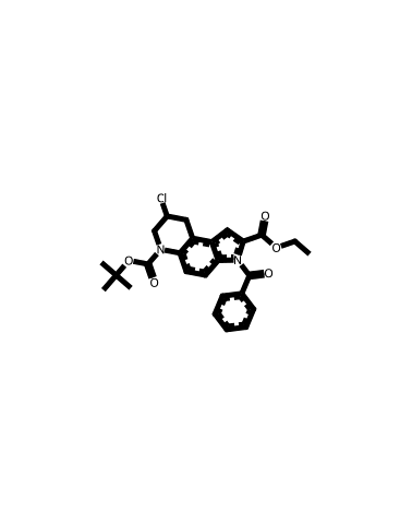 CCOC(=O)c1cc2c3c(ccc2n1C(=O)c1ccccc1)N(C(=O)OC(C)(C)C)CC(Cl)C3